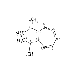 CC(C)C1=C(C(C)C)N=CC=C=N1